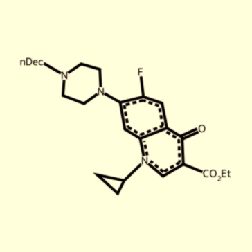 CCCCCCCCCCN1CCN(c2cc3c(cc2F)c(=O)c(C(=O)OCC)cn3C2CC2)CC1